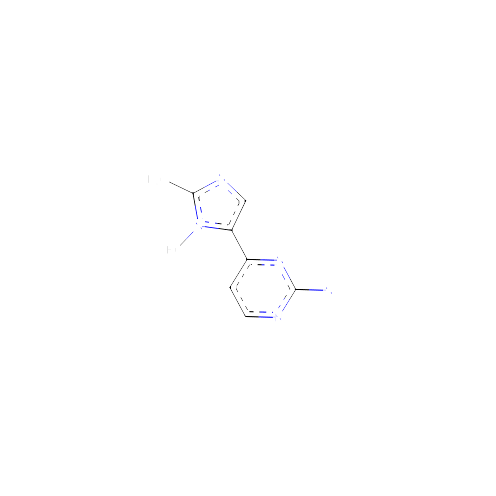 CCn1c(-c2ccnc(N)n2)cnc1C(F)(F)F